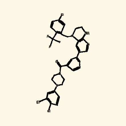 O=C(c1cccc(-c2cnc3c(c2)N(Cc2cc(Cl)ccc2C(F)(F)F)CCN3)c1)N1CCN(c2ccc(Cl)c(Cl)c2)CC1